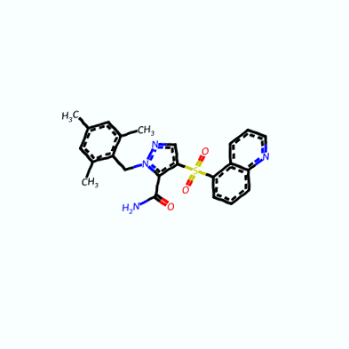 Cc1cc(C)c(Cn2ncc(S(=O)(=O)c3cccc4ncccc34)c2C(N)=O)c(C)c1